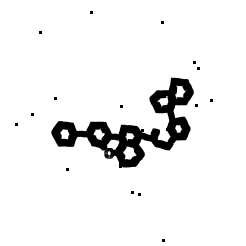 C=C(/C=C\c1cccc(-c2cccc3ccccc23)c1)c1ccc2c3c(cccc13)Oc1cc(-c3ccccc3)ccc1-2